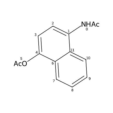 CC(=O)Nc1ccc(OC(C)=O)c2ccccc12